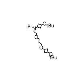 CC(C)N(CCOCCCOC1CC(OC(C)(C)C)C1)C1CC(OC(C)(C)C)C1